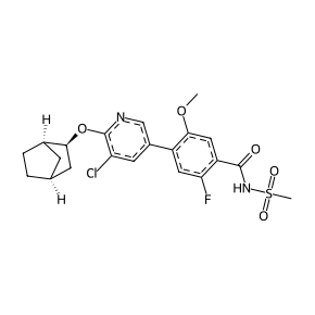 COc1cc(C(=O)NS(C)(=O)=O)c(F)cc1-c1cnc(O[C@H]2C[C@H]3CC[C@@H]2C3)c(Cl)c1